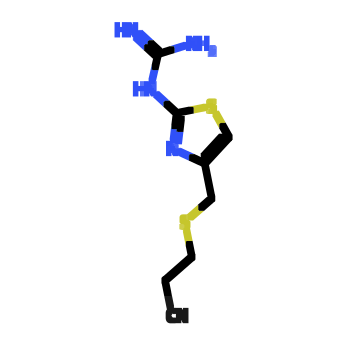 N#CCCSCc1csc(NC(=N)N)n1